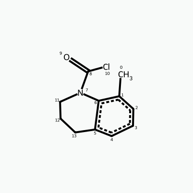 Cc1cccc2c1N(C(=O)Cl)CCC2